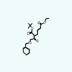 CCOC(=O)CCCC(C(=O)COCC1CCCCC1)C(=O)OC(C)(C)C